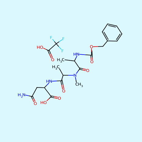 CC(NC(=O)OCc1ccccc1)C(=O)N(C)C(C)C(=O)NC(CC(N)=O)C(=O)O.O=C(O)C(F)(F)F